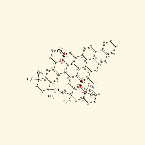 Cc1cc2c3c(c1)N(c1cc4c(cc1-c1ccccc1)C(C)(C)CCC4(C)C)c1cc4c(cc1B3C1=C(c3ccc5ccccc5c3)C/C(=C/c3ccccc3)c3cccc-2c31)C(C)(C)CCC4(C)C